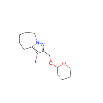 Ic1c(COC2CCCCO2)nn2c1CCCCC2